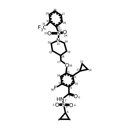 O=C(NS(=O)(=O)C1CC1)c1cc(C2CC2)c(OCC2CCN(S(=O)(=O)c3ccccc3C(F)(F)F)CC2)cc1F